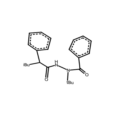 CCC(C)C(C(=O)NN(C(=O)c1ccccc1)C(C)(C)C)c1ccccc1